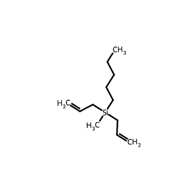 C=CC[Si](C)(CC=C)CCCCC